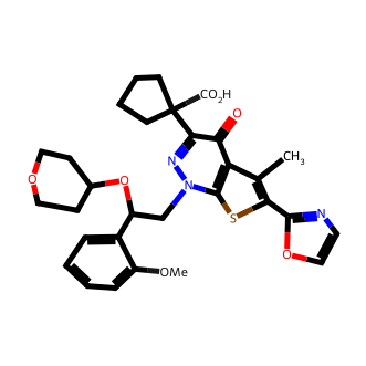 COc1ccccc1C(Cn1nc(C2(C(=O)O)CCCC2)c(=O)c2c(C)c(-c3ncco3)sc21)OC1CCOCC1